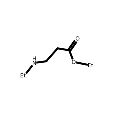 [CH2]CNCCC(=O)OCC